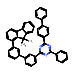 CC1(C)c2ccccc2-c2cccc(-c3cccc(-c4cccc(-c5nc(-c6ccccc6)nc(-c6ccc(-c7ccccc7)cc6)n5)c4)c3)c21